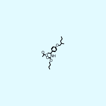 CCCCOC(=O)NC(COC(C)=O)c1ccc(OCC(C)CCC)cc1